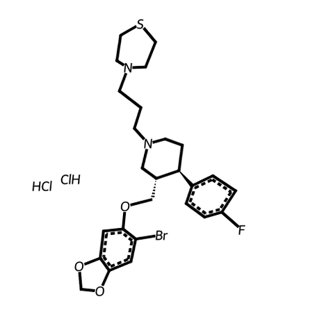 Cl.Cl.Fc1ccc([C@@H]2CCN(CCCN3CCSCC3)C[C@H]2COc2cc3c(cc2Br)OCO3)cc1